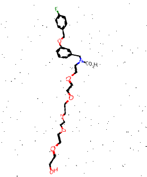 O=C(O)N(CCOCCOCCOCCOCCOCCO)Cc1cccc(OCc2ccc(F)cc2)c1